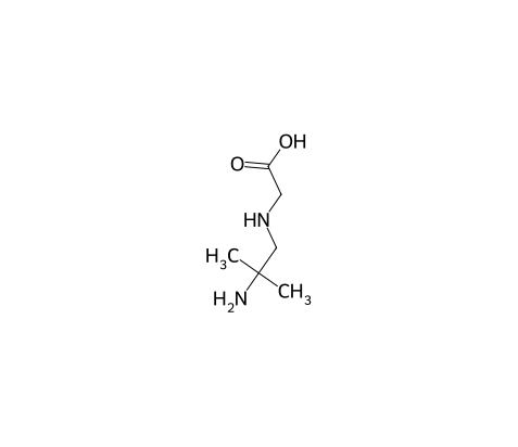 CC(C)(N)CNCC(=O)O